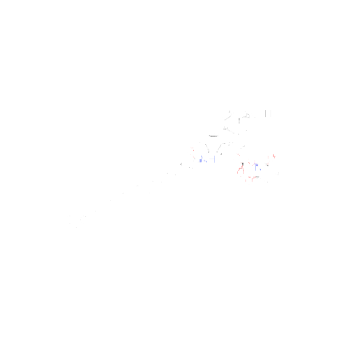 O=C(O)CCCCCCCCCCCCCCCC(=O)Nc1ccc2c(c1)C(COC(=O)ON1C(=O)CCC1=O)c1cc(S(=O)(=O)O)ccc1-2